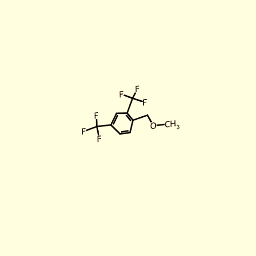 COCc1ccc(C(F)(F)F)cc1C(F)(F)F